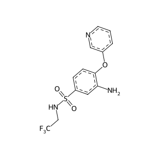 Nc1cc(S(=O)(=O)NCC(F)(F)F)ccc1Oc1cccnc1